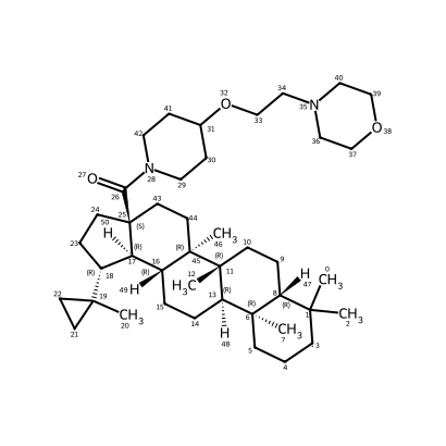 CC1(C)[CH]CC[C@]2(C)[C@@H]1CC[C@]1(C)[C@@H]2CC[C@@H]2[C@H]3[C@H](C4(C)CC4)CC[C@]3(C(=O)N3CCC(OCCN4CCOCC4)CC3)CC[C@]21C